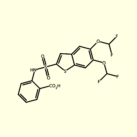 O=C(O)c1ccccc1NS(=O)(=O)c1cc2cc(OC(F)F)c(OC(F)F)cc2s1